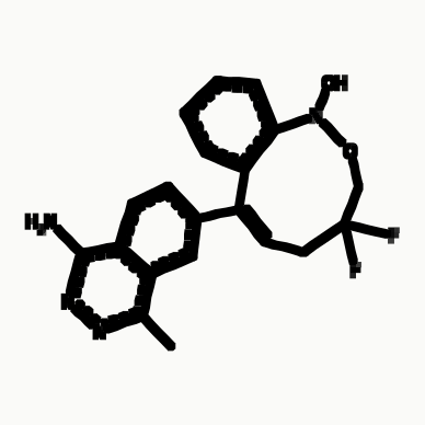 Cc1nnc(N)c2ccc(C3=CCC(F)(F)CON(O)c4ccccc43)cc12